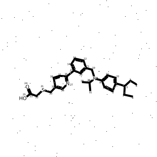 CCC(CC)c1ccc(N(Cc2cccc(-c3ccc(CSCC(=O)O)cn3)c2)C(C)C)cc1